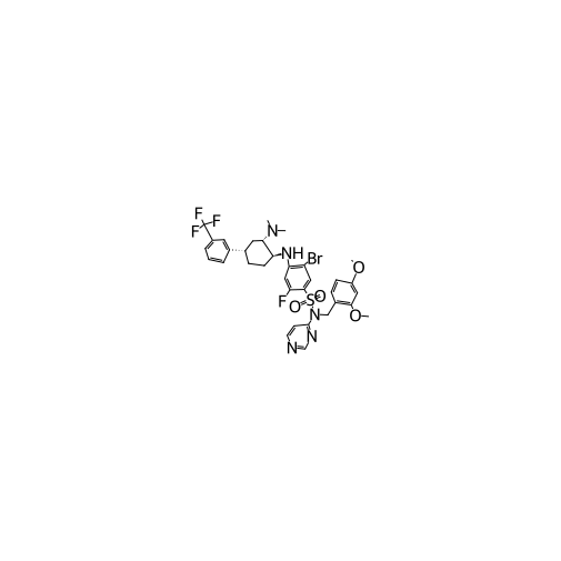 COc1ccc(CN(c2ccncn2)S(=O)(=O)c2cc(Br)c(N[C@H]3CC[C@H](c4cccc(C(F)(F)F)c4)C[C@@H]3N(C)C)cc2F)c(OC)c1